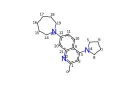 Cc1cc(N2CCCC2)c2ccc(N3CCCCCC3)cc2n1